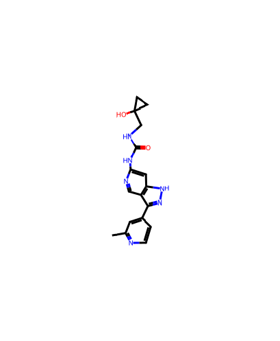 Cc1cc(-c2n[nH]c3cc(NC(=O)NCC4(O)CC4)ncc23)ccn1